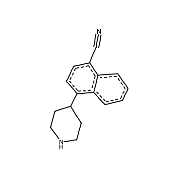 N#Cc1ccc(C2CCNCC2)c2ccccc12